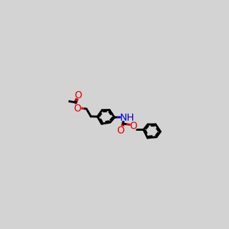 CC(=O)OCCc1ccc(NC(=O)OCc2ccccc2)cc1